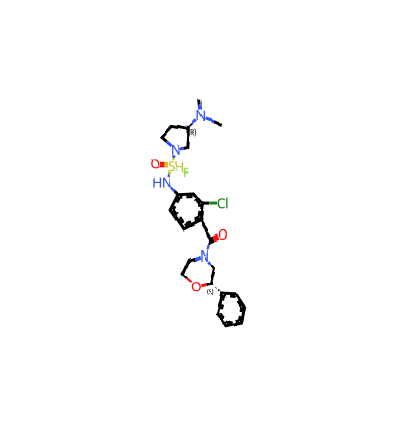 CN(C)[C@@H]1CCN([SH](=O)(F)Nc2ccc(C(=O)N3CCO[C@@H](c4ccccc4)C3)c(Cl)c2)C1